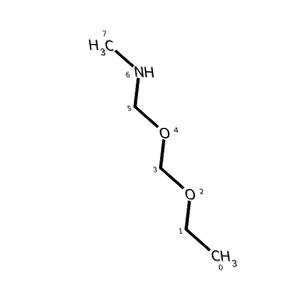 CCOCOCNC